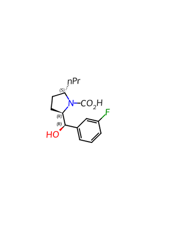 CCC[C@H]1CC[C@H]([C@H](O)c2cccc(F)c2)N1C(=O)O